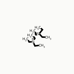 CC[SiH](CC)CC.CC[SiH](CC)CC